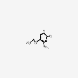 CCOC(=O)COc1cc(F)c(Cl)cc1[N+](=O)[O-]